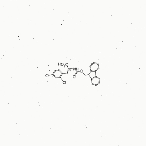 O=C(N[C@@H](Cc1ccc(Cl)cc1Cl)C(=O)O)OCC1c2ccccc2-c2ccccc21